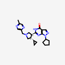 Cc1cnc(CN2C[C@@H](c3nc4c(cnn4C4CCCC4)c(=O)[nH]3)[C@H](C3CC3)C2)cn1